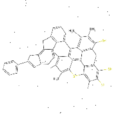 Bc1c(S)c2c3c4c5c(c(B)c(C)c(C)c5c(-c5cccc6c5-c5ccc7c(c5C6)CC(c5ccccc5)=C7)c3c1B)Sc1c(C)c(S)c(S)c(c1-4)C2